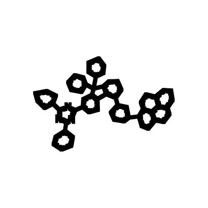 c1ccc(-c2nc(-c3ccccc3)nc(-c3ccc4c(c3)C(c3ccccc3)(c3ccccc3)c3cccc(-c5cccc(-c6ccc7ccc8cccc9ccc6c7c89)c5)c3-4)n2)cc1